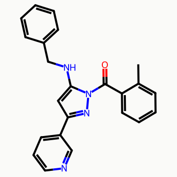 Cc1ccccc1C(=O)n1nc(-c2cccnc2)cc1NCc1ccccc1